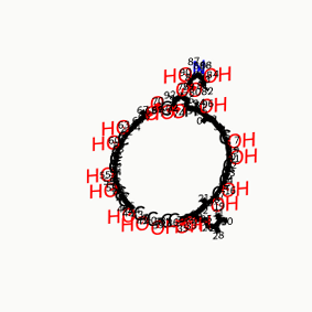 C/C1=C\C=C\C[C@@H](O)[C@H](C)[C@@H](O)CCC[C@@H](O)C[C@H](O)/C(C)=C/C(CCCC(C)C(C)C)[C@@H](O)C(O)CC[C@@H](O)C[C@H](O)C[C@@H](O)[C@@H](C)CC[C@@H](O)[C@H](C)[C@@H](O)CCC[C@H](O)C[C@H](O)/C=C/C(C)OC(=O)CC2(O)O[C@@H](C[C@H](OC3O[C@H](C)[C@@H](O)[C@H](N(C)C)[C@H]3O)[C@H]2C)[C@@H](C)[C@@H]1O